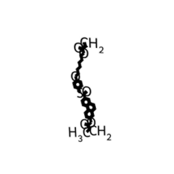 C=CC(=O)OCCCCCCOc1ccc(SC(=O)c2ccc3c(ccc4cc(OC(=O)C(=C)C)ccc43)c2)cc1